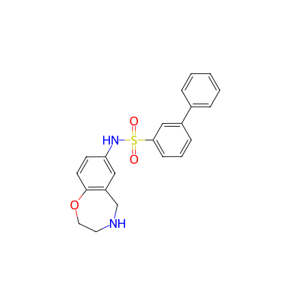 O=S(=O)(Nc1ccc2c(c1)CNCCO2)c1cccc(-c2ccccc2)c1